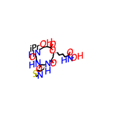 CC(C)[C@H]1NC(=O)[C@@H](C)NC(=O)[C@@H](Cc2cscn2)NC(=O)C[C@@H](CCCCC(=O)NO)OC(=O)C[C@@H]1O